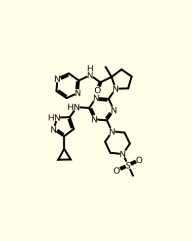 CC1(C(=O)Nc2cnccn2)CCCN1c1nc(Nc2cc(C3CC3)n[nH]2)nc(N2CCN(S(C)(=O)=O)CC2)n1